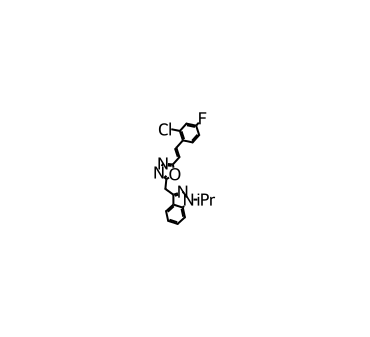 CC(C)n1nc(Cc2nnc(/C=C/c3ccc(F)cc3Cl)o2)c2ccccc21